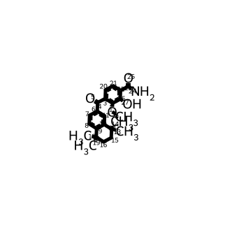 COc1c(C(=O)c2ccc3c(c2)C(C)(C)CCC3(C)C)ccc(C(N)=O)c1O